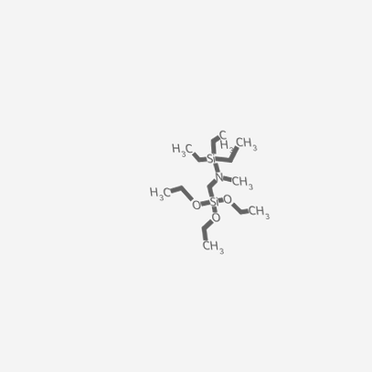 CCO[Si](CN(C)[Si](CC)(CC)CC)(OCC)OCC